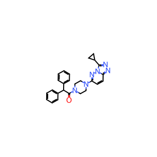 O=C(C(c1ccccc1)c1ccccc1)N1CCN(c2ccc3nnc(C4CC4)n3n2)CC1